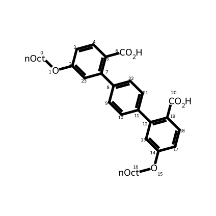 CCCCCCCCOc1ccc(C(=O)O)c(-c2ccc(-c3cc(OCCCCCCCC)ccc3C(=O)O)cc2)c1